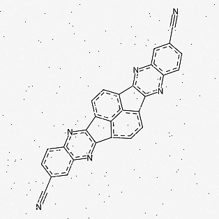 N#Cc1ccc2nc3c(nc2c1)-c1ccc2c4c(ccc-3c14)-c1nc3cc(C#N)ccc3nc1-2